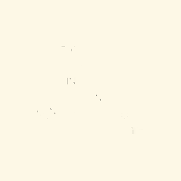 CC(C)Oc1ccc([N+](=O)[O-])c(NCC(F)(F)F)n1